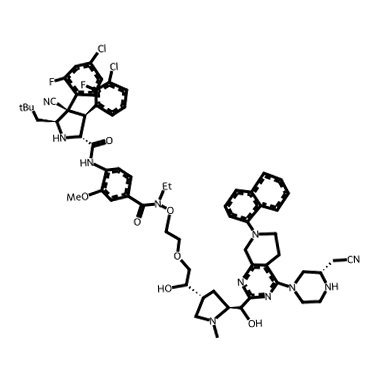 CCN(OCCOCC(O)[C@@H]1C[C@@H](C(O)c2nc3c(c(N4CCN[C@@H](CC#N)C4)n2)CCN(c2cccc4ccccc24)C3)N(C)C1)C(=O)c1ccc(NC(=O)[C@@H]2N[C@@H](CC(C)(C)C)[C@](C#N)(c3ccc(Cl)cc3F)[C@H]2c2cccc(Cl)c2F)c(OC)c1